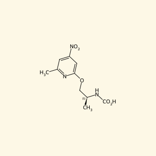 Cc1cc([N+](=O)[O-])cc(OC[C@H](C)NC(=O)O)n1